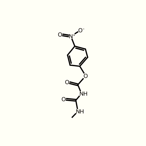 CNC(=O)NC(=O)Oc1ccc([N+](=O)[O-])cc1